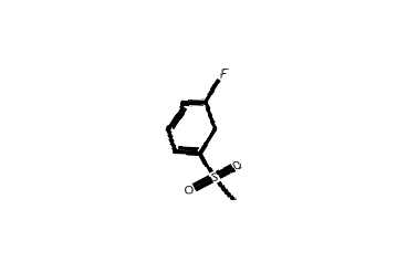 CS(=O)(=O)C1=CC=CC(F)C1